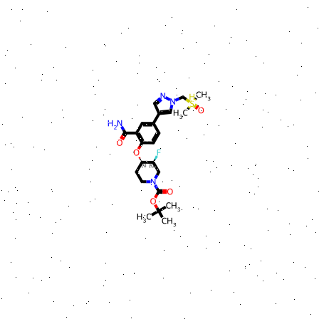 CC(C)(C)OC(=O)N1CC[C@H](Oc2ccc(-c3cnn(C[SH](C)(C)=O)c3)cc2C(N)=O)[C@@H](F)C1